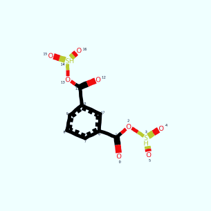 O=C(O[SH](=O)=O)c1cccc(C(=O)O[SH](=O)=O)c1